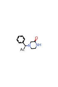 CC(=O)[C@@H](c1ccccc1)N1CCNC(=O)C1